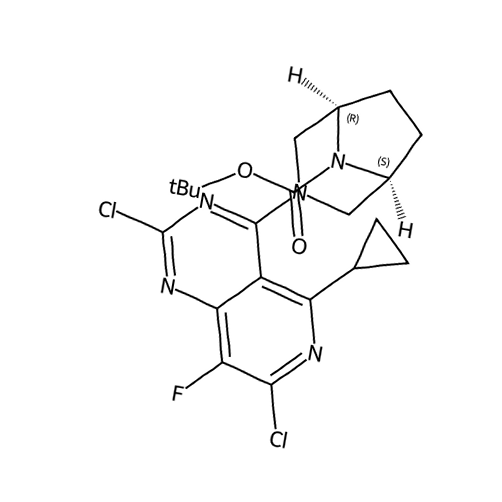 CC(C)(C)OC(=O)N1[C@@H]2CC[C@H]1CN(c1nc(Cl)nc3c(F)c(Cl)nc(C4CC4)c13)C2